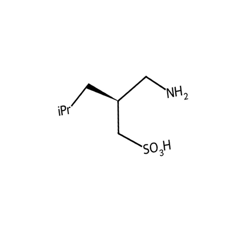 CC(C)C[C@@H](CN)CS(=O)(=O)O